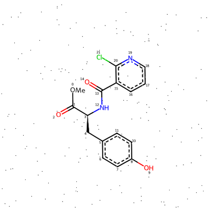 COC(=O)[C@H](Cc1ccc(O)cc1)NC(=O)c1cccnc1Cl